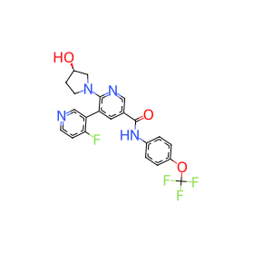 O=C(Nc1ccc(OC(F)(F)F)cc1)c1cnc(N2CC[C@@H](O)C2)c(-c2cnccc2F)c1